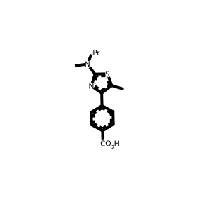 Cc1sc(N(C)C(C)C)nc1-c1ccc(C(=O)O)cc1